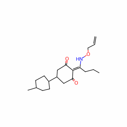 C=CCONC(CCC)=C1C(=O)CC(C2CCC(C)CC2)CC1=O